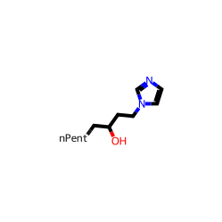 CCCCCCC(O)CCn1ccnc1